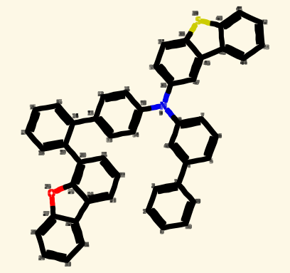 c1ccc(-c2cccc(N(c3ccc(-c4ccccc4-c4cccc5c4oc4ccccc45)cc3)c3ccc4sc5ccccc5c4c3)c2)cc1